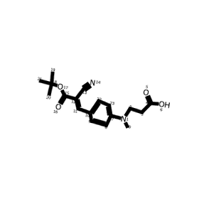 CN(CCC(=O)O)c1ccc(/C=C(\C#N)C(=O)OC(C)(C)C)cc1